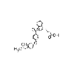 CC(C)Cc1ccc(Oc2ccc(C(=O)n3cc(CCCC(=O)O)c4ccccc43)cc2)cc1